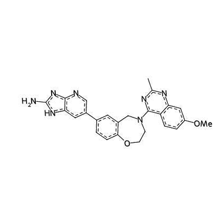 COc1ccc2c(N3CCOc4ccc(-c5cnc6nc(N)[nH]c6c5)cc4C3)nc(C)nc2c1